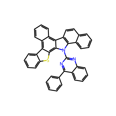 c1ccc(-c2nc(-n3c4c5ccccc5ccc4c4c5ccccc5c5c6ccccc6sc5c43)nc3ccccc23)cc1